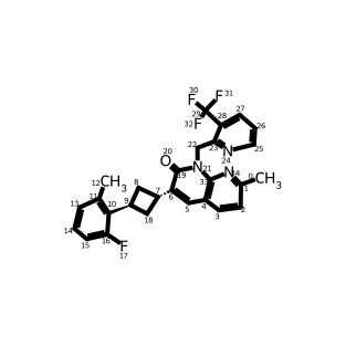 Cc1ccc2cc([C@H]3C[C@H](c4c(C)cccc4F)C3)c(=O)n(Cc3ncccc3C(F)(F)F)c2n1